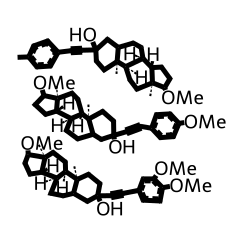 COC1CC[C@H]2[C@@H]3CCC4CC(O)(C#Cc5ccc(C)cc5)CC[C@]4(C)[C@@H]3CC[C@]12C.COc1ccc(C#CC2(O)CC[C@@]3(C)C(CC[C@@H]4[C@H]3CC[C@]3(C)C(OC)CC[C@@H]43)C2)cc1.COc1ccc(C#CC2(O)CC[C@@]3(C)C(CC[C@@H]4[C@H]3CC[C@]3(C)C(OC)CC[C@@H]43)C2)cc1OC